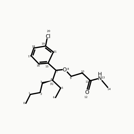 CCCC[C@H](CC)C(OCCC(=O)NC)c1cccc(Cl)c1